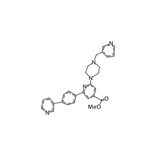 COC(=O)c1cc(-c2ccc(-c3cccnc3)cc2)nc(N2CCN(Cc3cccnc3)CC2)c1